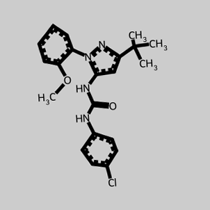 COc1ccccc1-n1nc(C(C)(C)C)cc1NC(=O)Nc1ccc(Cl)cc1